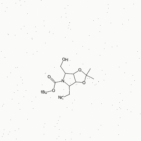 CC(C)(C)OC(=O)N1C(CO)C2OC(C)(C)OC2C1CC#N